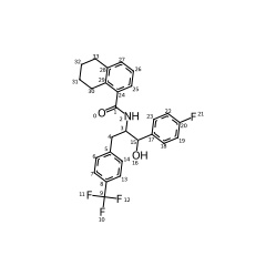 O=C(NC(Cc1ccc(C(F)(F)F)cc1)C(O)c1ccc(F)cc1)c1cccc2c1CCCC2